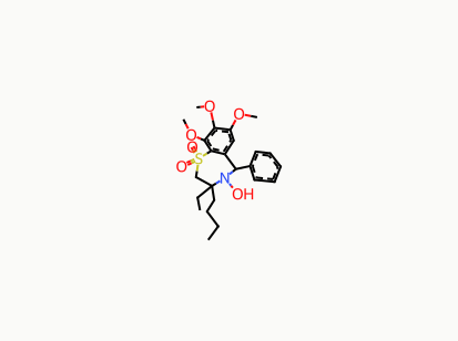 CCCCC1(CC)CS(=O)(=O)c2c(cc(OC)c(OC)c2OC)C(c2ccccc2)N1O